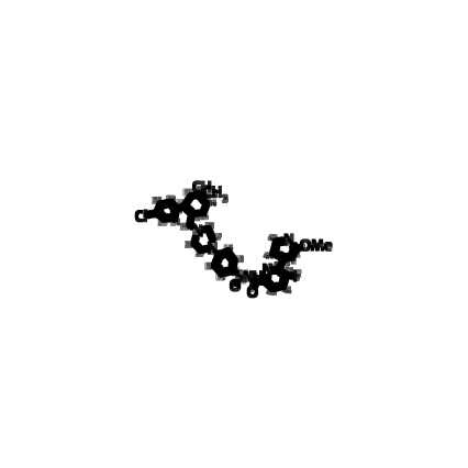 COc1cc(-c2nc(C(=O)N[S+]([O-])c3ccc(N4CCN(CC5=C(c6ccc(Cl)cc6)CC(C)(C)CC5)CC4)cc3)ccc2F)ccn1